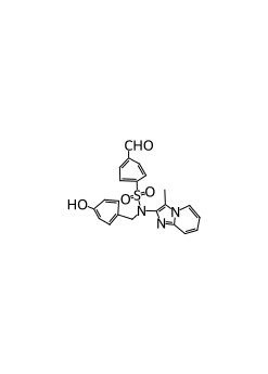 Cc1c(N(Cc2ccc(O)cc2)S(=O)(=O)c2ccc(C=O)cc2)nc2ccccn12